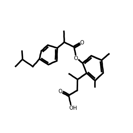 Cc1cc(C)c(C(C)CC(=O)O)c(OC(=O)C(C)c2ccc(CC(C)C)cc2)c1